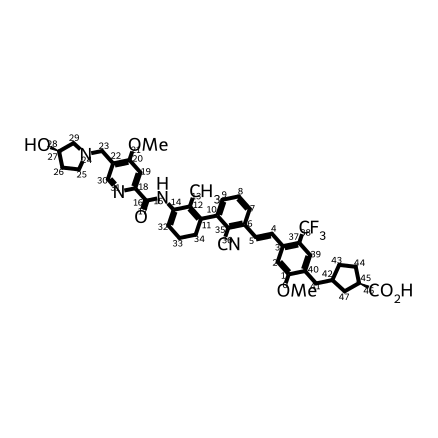 COc1cc(/C=C/c2cccc(C3=C(C)C(NC(=O)c4cc(OC)c(CN5CC[C@@H](O)C5)cn4)=CCC3)c2C#N)c(C(F)(F)F)cc1CC1CC[C@@H](C(=O)O)C1